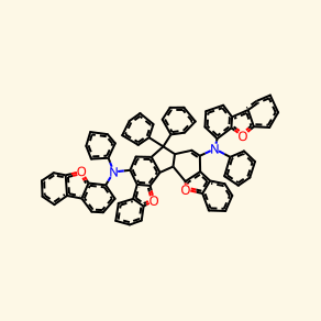 C1=C(N(c2ccccc2)c2cccc3c2oc2ccccc23)c2c(oc3ccccc23)C2c3c(cc(N(c4ccccc4)c4cccc5c4oc4ccccc45)c4c3oc3ccccc34)C(c3ccccc3)(c3ccccc3)C12